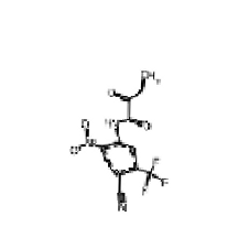 CCC(=O)C(=O)Nc1cc(C(F)(F)F)c(C#N)cc1[N+](=O)[O-]